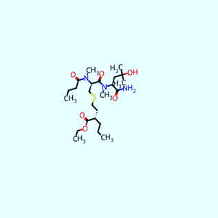 CCCC(=O)N(C)[C@H](CSCC[C@H](CCC)C(=O)OCC)C(=O)N(C)[C@@H](CC(C)(C)O)C(N)=O